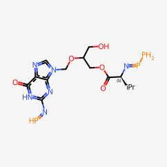 CC(C)[C@H](N=PP)C(=O)OCC(CO)OCn1cnc2c(=O)[nH]c(N=P)nc21